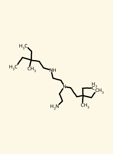 CCC(C)(CC)CCNCCN(CCN)CCC(C)(CC)CC